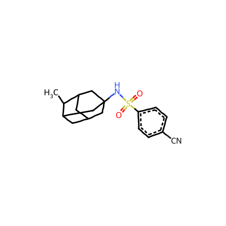 CC1C2CC3CC1CC(NS(=O)(=O)c1ccc(C#N)cc1)(C3)C2